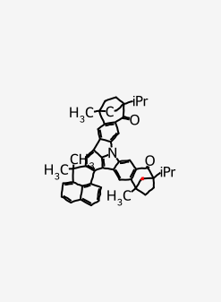 CC(C)C12CCC(C)(CC1)c1cc3c4cc5c(c6c7cc8c(cc7n(c3cc1C2=O)c46)C(=O)C1(C(C)C)CCC8(C)CC1)-c1cccc2cccc(c12)C5(C)C